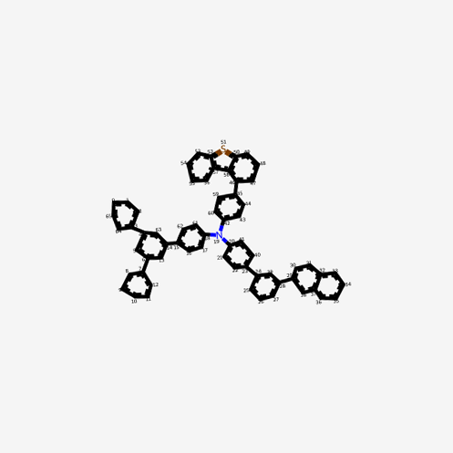 c1ccc(-c2cc(-c3ccccc3)cc(-c3ccc(N(c4ccc(-c5cccc(-c6ccc7ccccc7c6)c5)cc4)c4ccc(-c5cccc6sc7ccccc7c56)cc4)cc3)c2)cc1